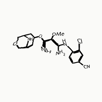 CO/C(C(=N)OC1CC2COCC(C1)N2)=C(/N)Nc1ccc(C#N)cc1Cl